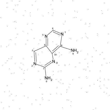 Nc1ncc2ncnc(N)c2n1